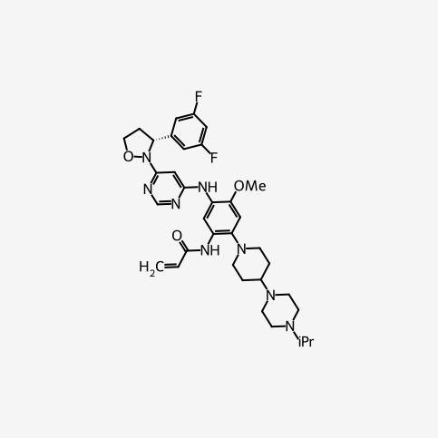 C=CC(=O)Nc1cc(Nc2cc(N3OCC[C@@H]3c3cc(F)cc(F)c3)ncn2)c(OC)cc1N1CCC(N2CCN(C(C)C)CC2)CC1